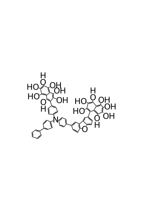 Oc1c(O)c(O)c2c(O)c(-c3ccc(N(c4ccc(-c5ccccc5)cc4)c4ccc(-c5ccc6oc7ccc(-c8c(O)c(O)c(O)c9c(O)c(O)c(O)c(O)c89)cc7c6c5)cc4)cc3)c(O)c(O)c2c1O